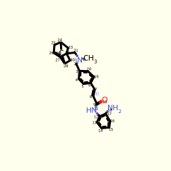 CN(Cc1ccc(/C=C/C(=O)Nc2ccccc2N)cc1)CC12CC3CC=C1C(C3)C2